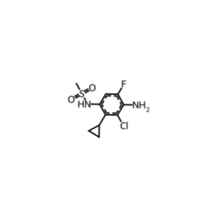 CS(=O)(=O)Nc1cc(F)c(N)c(Cl)c1C1CC1